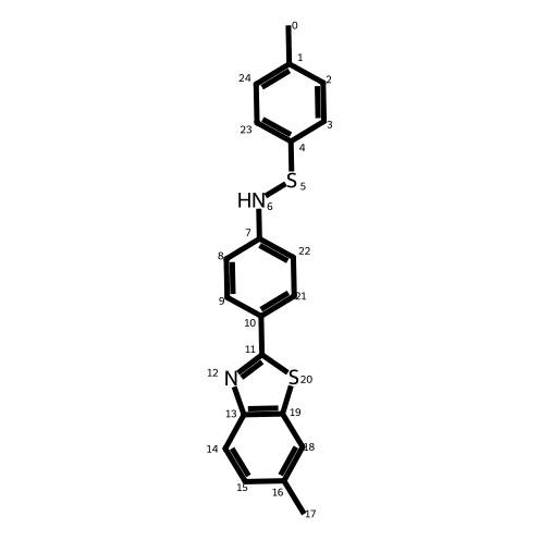 Cc1ccc(SNc2ccc(-c3nc4ccc(C)cc4s3)cc2)cc1